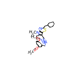 COc1cccc(CN(C=O)/N=C\c2c(C)n(C)c3nc(CC4CCCCC4)sc23)c1